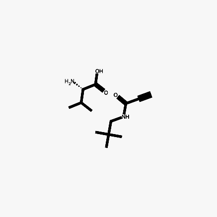 C#CC(=O)NCC(C)(C)C.CC(C)[C@H](N)C(=O)O